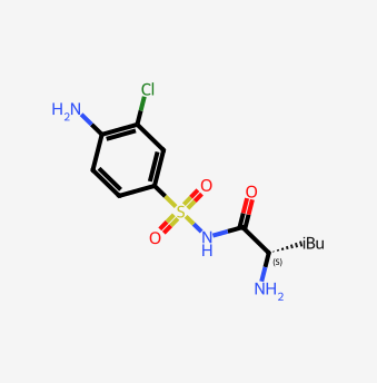 CCC(C)[C@H](N)C(=O)NS(=O)(=O)c1ccc(N)c(Cl)c1